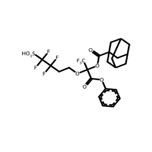 O=C(OC(OCCC(F)(F)C(F)(F)S(=O)(=O)O)(C(=O)Oc1ccccc1)C(F)(F)F)C12CC3CC(CC(C3)C1)C2